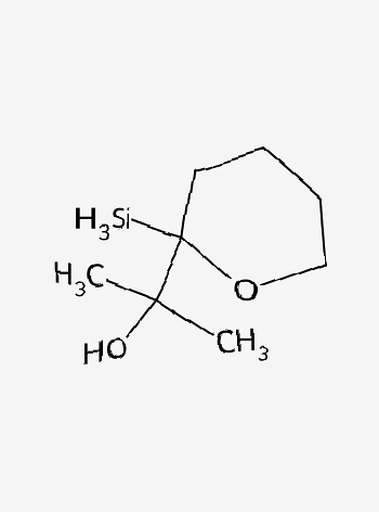 CC(C)(O)C1([SiH3])CCCCO1